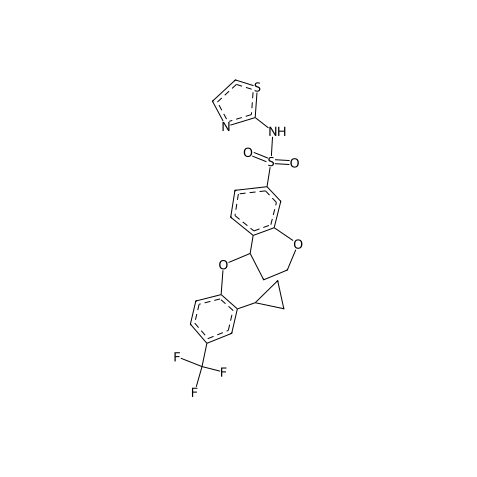 O=S(=O)(Nc1nccs1)c1ccc2c(c1)OCCC2Oc1ccc(C(F)(F)F)cc1C1CC1